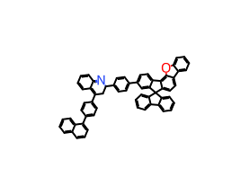 c1ccc2c(c1)-c1ccccc1C21c2cc(-c3ccc(C4CC(c5ccc(-c6cccc7ccccc67)cc5)=c5ccccc5=N4)cc3)ccc2-c2c1ccc1c2oc2ccccc21